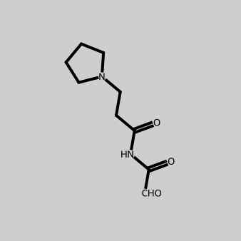 O=CC(=O)NC(=O)CCN1CCCC1